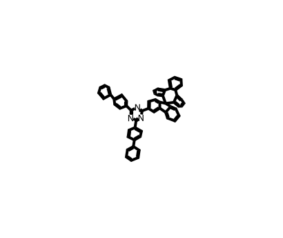 c1ccc(-c2ccc(-c3nc(-c4ccc(-c5ccccc5)cc4)nc(-c4ccc5c(c4)-c4ccccc4C54c5ccccc5-c5ccccc5-c5ccccc54)n3)cc2)cc1